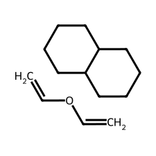 C1CCC2CCCCC2C1.C=COC=C